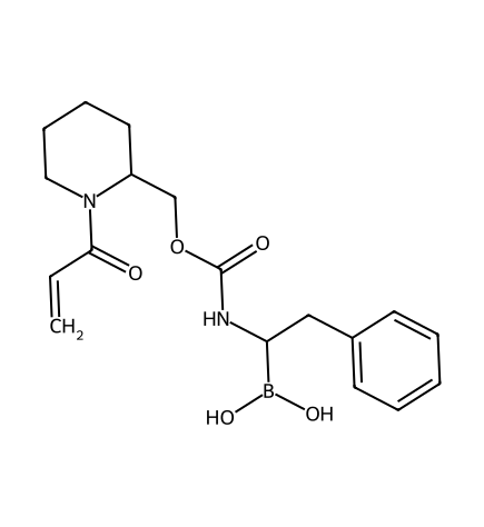 C=CC(=O)N1CCCCC1COC(=O)NC(Cc1ccccc1)B(O)O